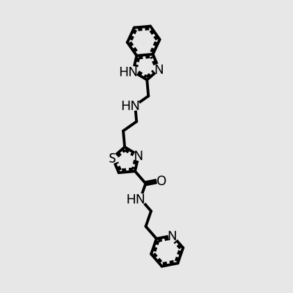 O=C(NCCc1ccccn1)c1csc(CCNCc2nc3ccccc3[nH]2)n1